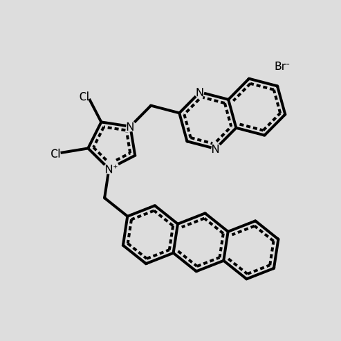 Clc1c(Cl)[n+](Cc2ccc3cc4ccccc4cc3c2)cn1Cc1cnc2ccccc2n1.[Br-]